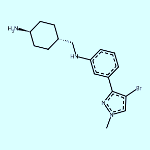 Cn1cc(Br)c(-c2cccc(NC[C@H]3CC[C@H](N)CC3)c2)n1